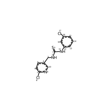 S=C(NCc1ccc(Cl)nc1)Nc1cccc(Cl)c1